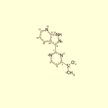 C[S+]([O-])c1ccnc(-c2n[nH]c3ncccc23)n1